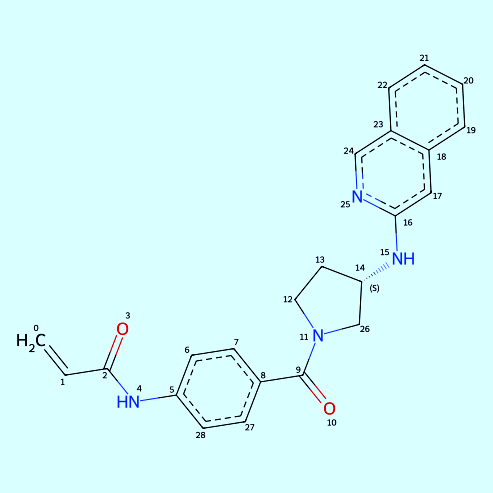 C=CC(=O)Nc1ccc(C(=O)N2CC[C@H](Nc3cc4ccccc4cn3)C2)cc1